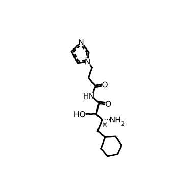 N[C@H](CC1CCCCC1)C(O)C(=O)NC(=O)CCn1ccnc1